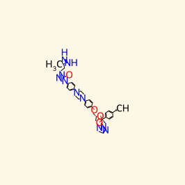 C#Cc1ccc([C@]2(Cn3nccn3)OC[C@@H](COc3ccc(N4CCN(c5ccc(-n6cnn(CCC7(C)NN7)c6=O)cc5)CC4)cc3)O2)cc1